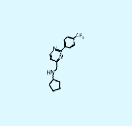 FC(F)(F)c1ccc(-c2nccc(CNC3CCCC3)n2)cc1